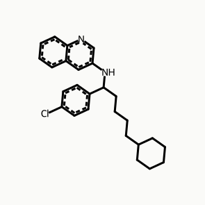 Clc1ccc(C(CCCCC2CCCCC2)Nc2cnc3ccccc3c2)cc1